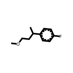 COCC[C](C)c1ccc(F)cc1